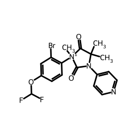 CC1(C)C(=O)[N+](C)(c2ccc(OC(F)F)cc2Br)C(=O)N1c1ccncc1